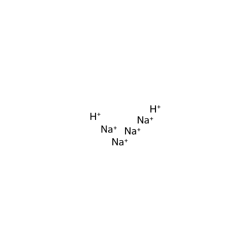 [H+].[H+].[Na+].[Na+].[Na+].[Na+]